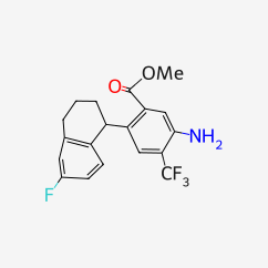 COC(=O)c1cc(N)c(C(F)(F)F)cc1C1CCCc2cc(F)ccc21